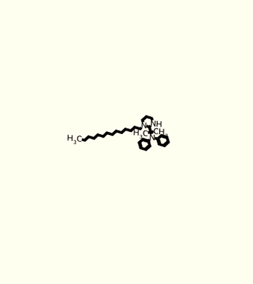 CCCCCCCCCCCCCCN1CCCNC1C(C)(C)N(c1ccccc1)c1ccccc1